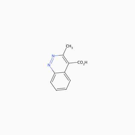 Cc1nnc2ccccc2c1C(=O)O